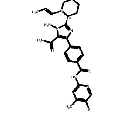 CC=CN1CCCC[C@H]1c1nc(-c2ccc(C(=O)Nc3cc(C)c(F)cn3)cc2)c(C(N)=O)n1N